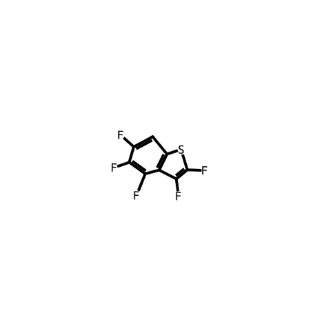 Fc1cc2sc(F)c(F)c2c(F)c1F